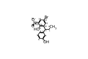 CCC(c1cccc(O)c1)c1cc(Br)cc([N+](=O)[O-])c1O